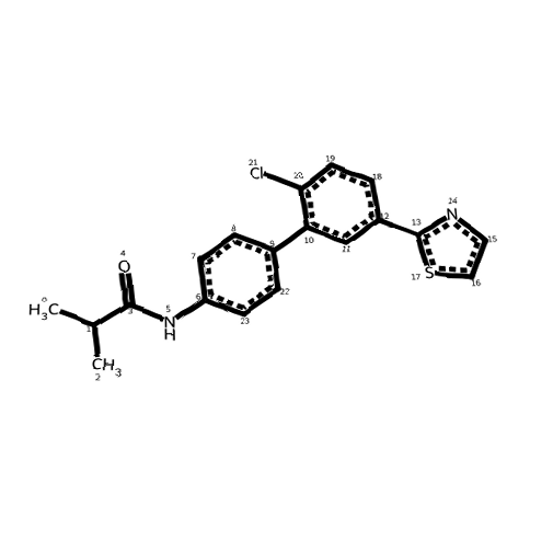 CC(C)C(=O)Nc1ccc(-c2cc(-c3nccs3)ccc2Cl)cc1